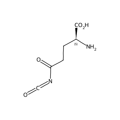 N[C@@H](CCC(=O)N=C=O)C(=O)O